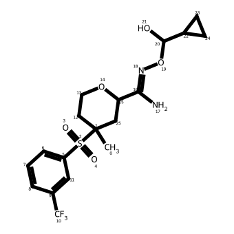 CC1(S(=O)(=O)c2cccc(C(F)(F)F)c2)CCOC(/C(N)=N/OC(O)C2CC2)C1